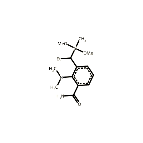 CCC(c1cccc(C(N)=O)c1N(C)C)[Si](C)(OC)OC